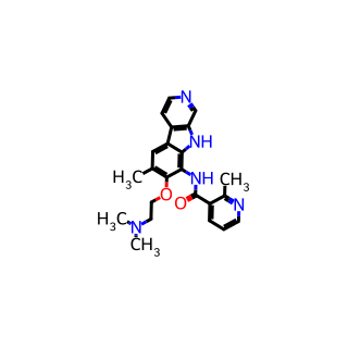 Cc1cc2c([nH]c3cnccc32)c(NC(=O)c2cccnc2C)c1OCCN(C)C